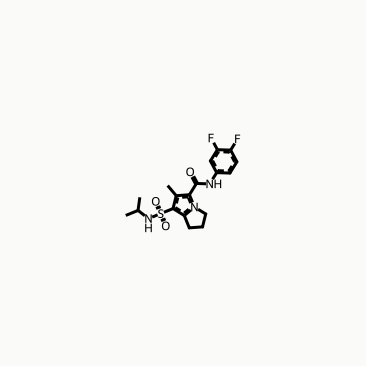 Cc1c(S(=O)(=O)NC(C)C)c2n(c1C(=O)Nc1ccc(F)c(F)c1)CCC2